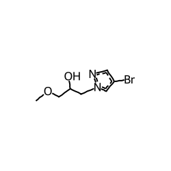 COCC(O)Cn1cc(Br)cn1